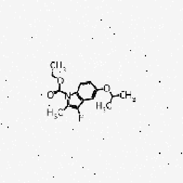 CCOC(=O)n1c(C)c(F)c2cc(OC(C)C)ccc21